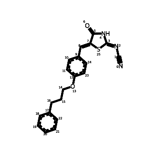 N#CN=C1NC(=O)C(=Cc2ccc(OCCCc3ccccc3)cc2)S1